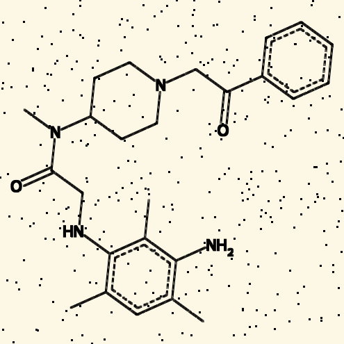 Cc1cc(C)c(NCC(=O)N(C)C2CCN(CC(=O)c3ccccc3)CC2)c(C)c1N